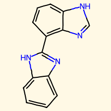 c1ccc2[nH]c(-c3cccc4[nH]cnc34)nc2c1